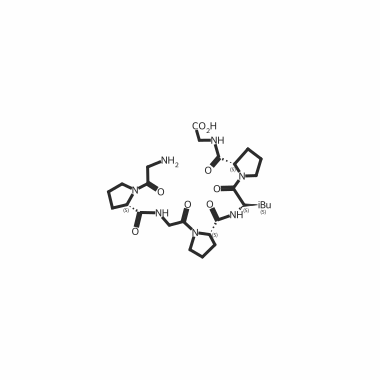 CC[C@H](C)[C@H](NC(=O)[C@@H]1CCCN1C(=O)CNC(=O)[C@@H]1CCCN1C(=O)CN)C(=O)N1CCC[C@H]1C(=O)NCC(=O)O